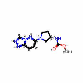 CC(C)(C)OC(=O)N[C@H]1CCN(c2ccc3nncn3n2)C1